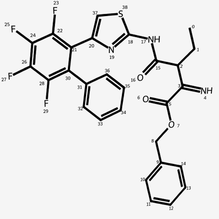 CCC(C(=N)C(=O)OCc1ccccc1)C(=O)Nc1nc(-c2c(F)c(F)c(F)c(F)c2-c2ccccc2)cs1